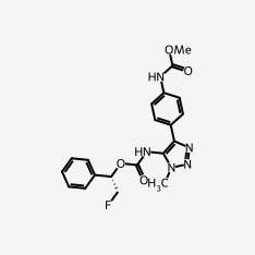 COC(=O)Nc1ccc(-c2nnn(C)c2NC(=O)O[C@H](CF)c2ccccc2)cc1